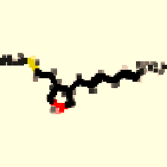 CCCCCCSCC[C@@H]1COC[C@@H]1CC=CCC=CC(=O)O